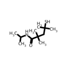 CC(C)NC(=O)C(C)(C)CC(C)(C)S